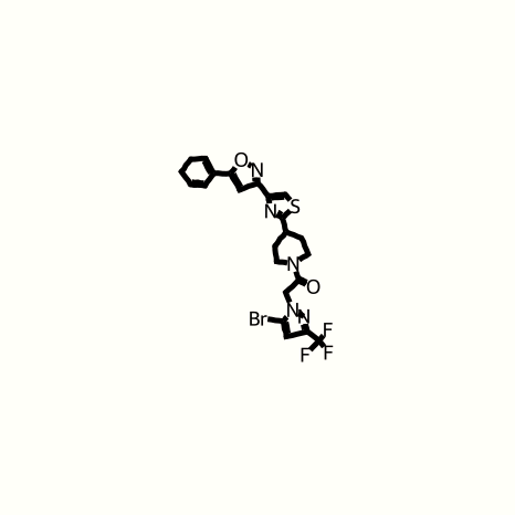 O=C(Cn1nc(C(F)(F)F)cc1Br)N1CCC(c2nc(-c3cc(C4=CCCC=C4)on3)cs2)CC1